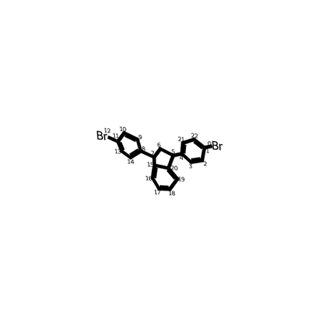 Brc1ccc(C2CC(c3ccc(Br)cc3)c3ccccc32)cc1